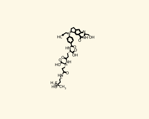 C#CCN(c1ccc(C(=O)N[C@@H](CCC(=O)N[C@H](CCC(=O)NCCC[Si](C)(C)O)C(=O)O)C(=O)O)cc1)[C@H]1CCc2cc3nc(CO)[nH]c(=O)c3cc21